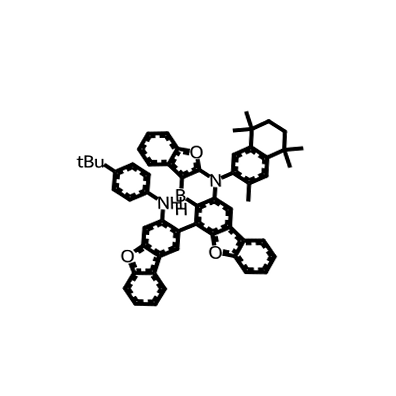 Cc1cc2c(cc1N1c3cc4c(oc5ccccc54)c(-c4cc5c(cc4Nc4ccc(C(C)(C)C)cc4)oc4ccccc45)c3Bc3c1oc1ccccc31)C(C)(C)CCC2(C)C